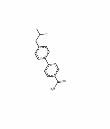 CC(C)Cc1ccc(-c2ccc(C(N)=O)cc2)cc1